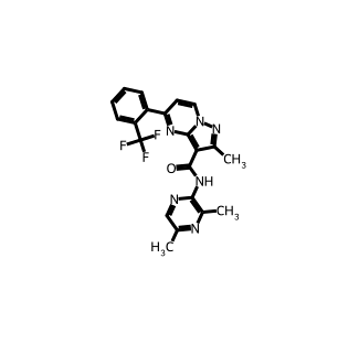 Cc1cnc(NC(=O)c2c(C)nn3ccc(-c4ccccc4C(F)(F)F)nc23)c(C)n1